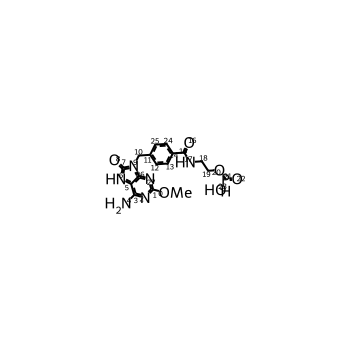 COc1nc(N)c2[nH]c(=O)n(Cc3ccc(C(=O)NCCO[PH](=O)O)cc3)c2n1